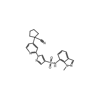 Cn1ncc2cccc(NS(=O)(=O)c3cnn(-c4cc(C5(C#N)CCCC5)ccn4)c3)c21